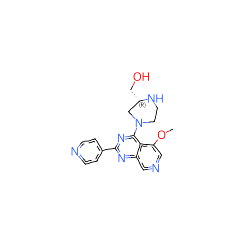 COc1cncc2nc(-c3ccncc3)nc(N3CCN[C@@H](CO)C3)c12